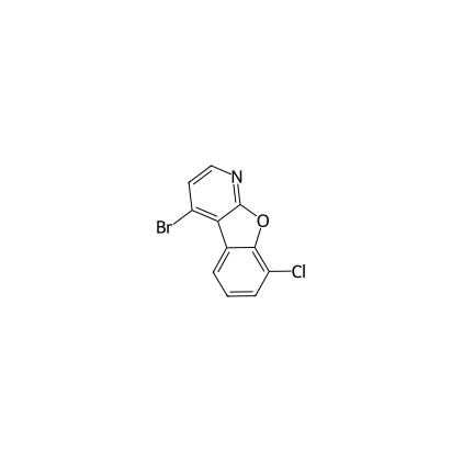 Clc1cccc2c1oc1nccc(Br)c12